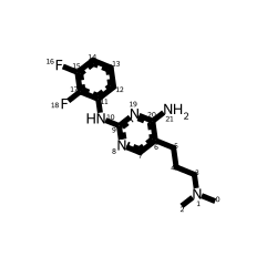 CN(C)CCCc1cnc(Nc2cccc(F)c2F)nc1N